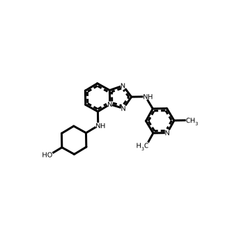 Cc1cc(Nc2nc3cccc(NC4CCC(O)CC4)n3n2)cc(C)n1